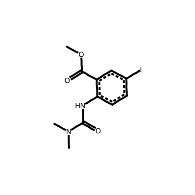 COC(=O)c1cc(I)ccc1NC(=O)N(C)C